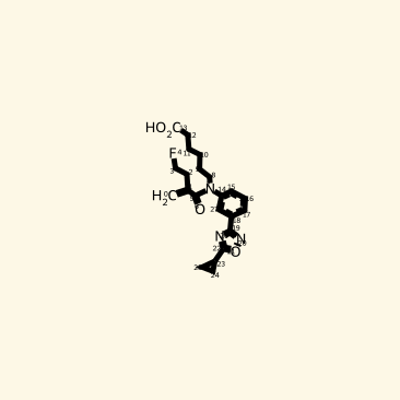 C=C(CCF)C(=O)N(CCCCCC(=O)O)c1cccc(-c2noc(C3CC3)n2)c1